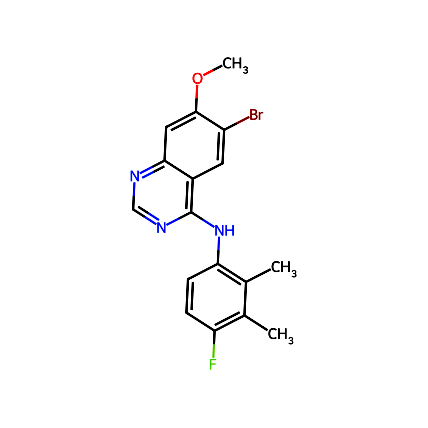 COc1cc2ncnc(Nc3ccc(F)c(C)c3C)c2cc1Br